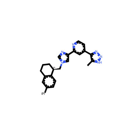 Cc1[nH]nnc1-c1ccnc(-c2cn(C[C@@H]3CCCc4cc(C(C)C)ccc43)cn2)c1